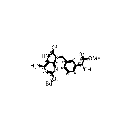 CCCCOc1nc(N)c2[nH]c(=O)n(Cc3cccc([C@@H](C)C(=O)OC)c3)c2n1